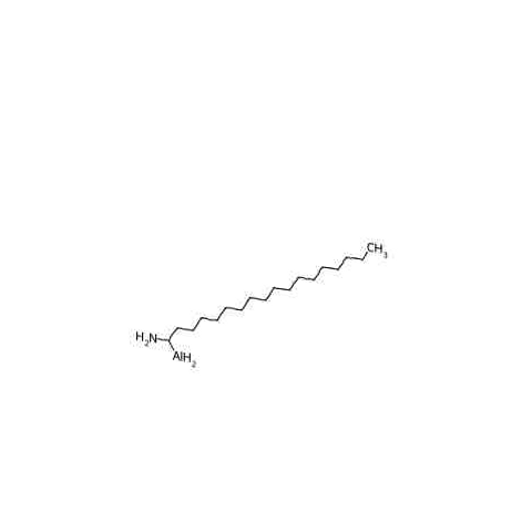 CCCCCCCCCCCCCCCCC[CH](N)[AlH2]